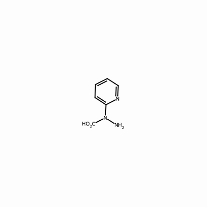 NN(C(=O)O)c1ccccn1